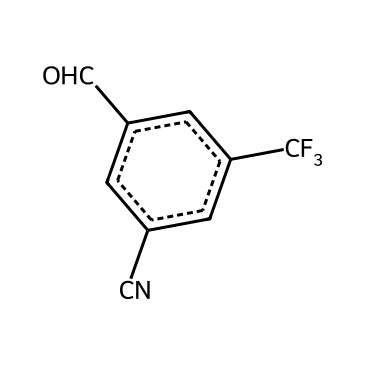 N#Cc1cc(C=O)cc(C(F)(F)F)c1